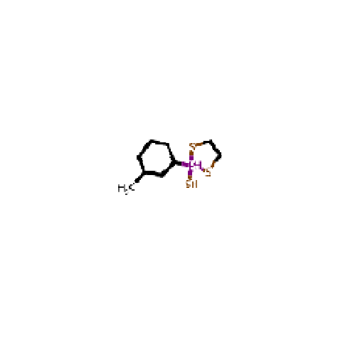 CC1CCCC([PH]2(S)SCCS2)C1